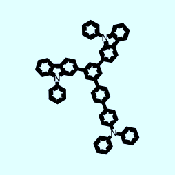 c1ccc(N(c2ccccc2)c2ccc(-c3ccc(-c4cc(-c5ccc6c7ccccc7n(-c7ccccc7)c6c5)cc(-c5ccc6c7ccccc7n(-c7ccccc7)c6c5)c4)cc3)cc2)cc1